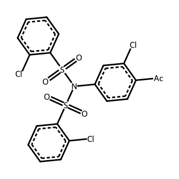 CC(=O)c1ccc(N(S(=O)(=O)c2ccccc2Cl)S(=O)(=O)c2ccccc2Cl)cc1Cl